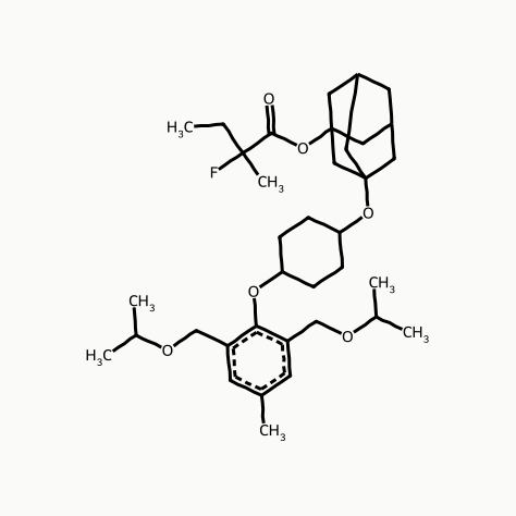 CCC(C)(F)C(=O)OC12CC3CC(C1)CC(OC1CCC(Oc4c(COC(C)C)cc(C)cc4COC(C)C)CC1)(C3)C2